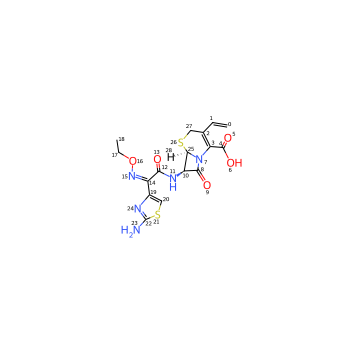 C=CC1=C(C(=O)O)N2C(=O)[C@@H](NC(=O)/C(=N\OCC)c3csc(N)n3)[C@H]2SC1